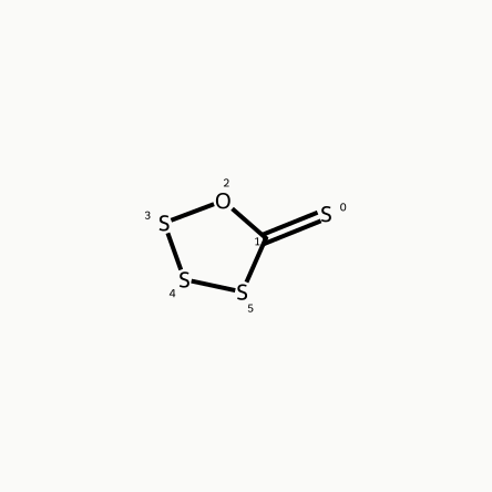 S=C1OSSS1